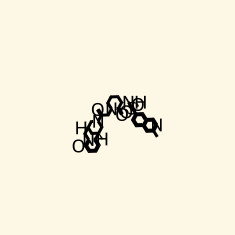 Cc1cc2ccc(S(=O)(=O)N[C@H]3CCCN(CC(=O)N4C[C@@H]5C[C@H](C4)c4cccc(=O)n4C5)C3=O)cc2cn1